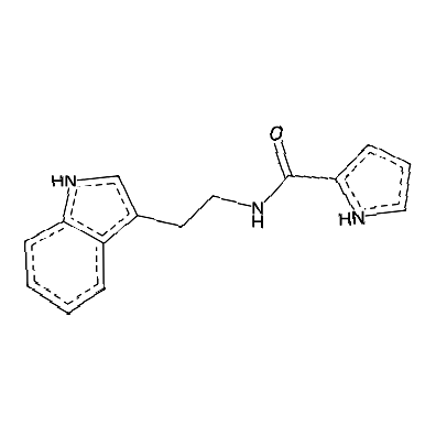 O=C(NCCc1c[nH]c2ccccc12)c1ccc[nH]1